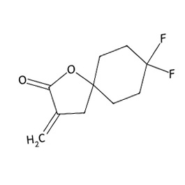 C=C1CC2(CCC(F)(F)CC2)OC1=O